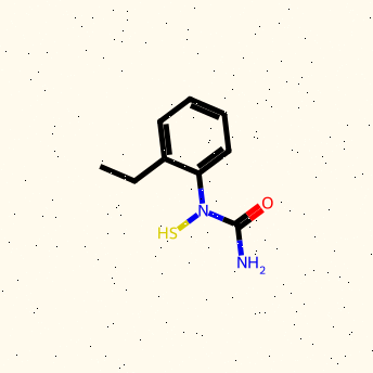 CCc1ccccc1N(S)C(N)=O